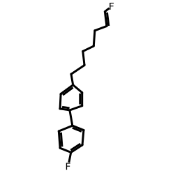 FC=CCCCCCc1ccc(-c2ccc(F)cc2)cc1